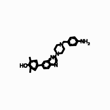 Cc1cc(-c2ccc3ncc(N4CCN(Cc5ccc(N)cc5)CC4)nc3c2)cc(C)c1O